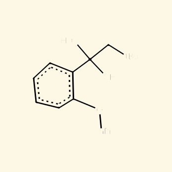 [CH2]CCOc1ccccc1C(C)(C)CC(C)(C)C